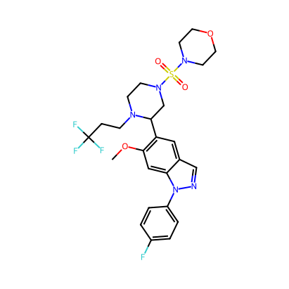 COc1cc2c(cnn2-c2ccc(F)cc2)cc1C1CN(S(=O)(=O)N2CCOCC2)CCN1CCC(F)(F)F